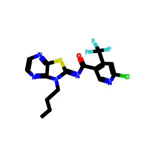 CCCCn1/c(=N/C(=O)c2cnc(Cl)cc2C(F)(F)F)sc2nccnc21